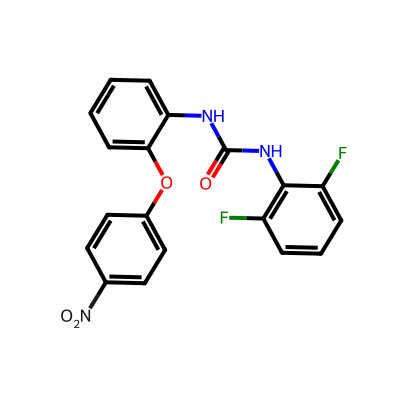 O=C(Nc1ccccc1Oc1ccc([N+](=O)[O-])cc1)Nc1c(F)cccc1F